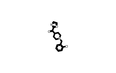 O=C(c1ncco1)C1CCN(Cc2ccccc2Cl)CC1